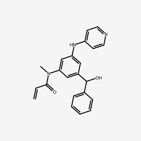 C=CC(=O)N(C)c1cc(Nc2ccncc2)cc(C(O)c2ccccc2)c1